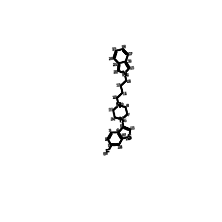 Fc1ccc2c(N3CCN(CCCCn4cc5ccccc5c4)CC3)csc2c1